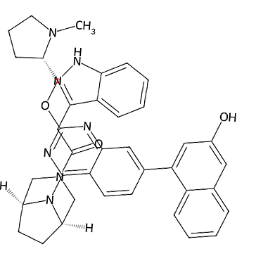 CN1CCC[C@H]1COc1nc(N2[C@@H]3CC[C@H]2CN(C(=O)Cc2n[nH]c4ccccc24)C3)c2ccc(-c3cc(O)cc4ccccc34)cc2n1